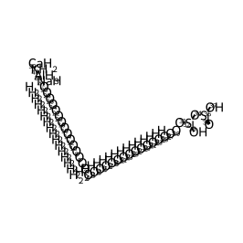 O.O.O.O.O.O.O.O.O.O.O.O.O.O.O.O.O.O.O.O.O.O.O.O.O.O.O.O.O.O.O.O=[Si](O)O[Si](=O)O.[AlH3].[CaH2].[KH].[NaH]